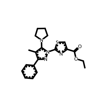 CCOC(=O)c1csc(-n2nc(-c3ccccc3)c(C)c2N2CCCC2)n1